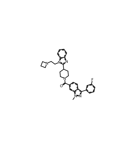 Cn1nc(-c2cccc(F)c2)c2ccc(C(=O)N3CCC(c4nc5ccccc5n4CCN4CCC4)CC3)cc21